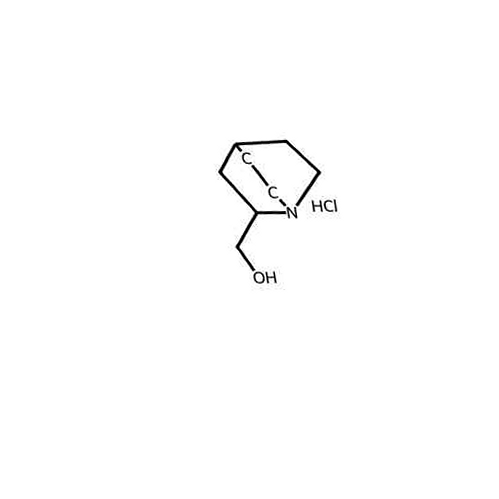 Cl.OCC1CC2CCN1CC2